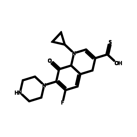 O=C1C(N2CCNCC2)=C(F)C=C2CC(C(O)=S)=CN(C3CC3)C12